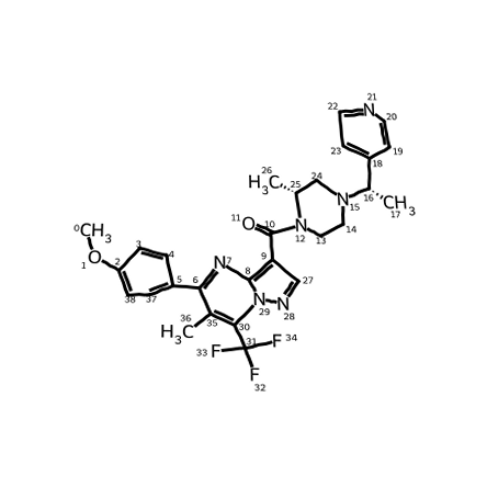 COc1ccc(-c2nc3c(C(=O)N4CCN([C@@H](C)c5ccncc5)C[C@H]4C)cnn3c(C(F)(F)F)c2C)cc1